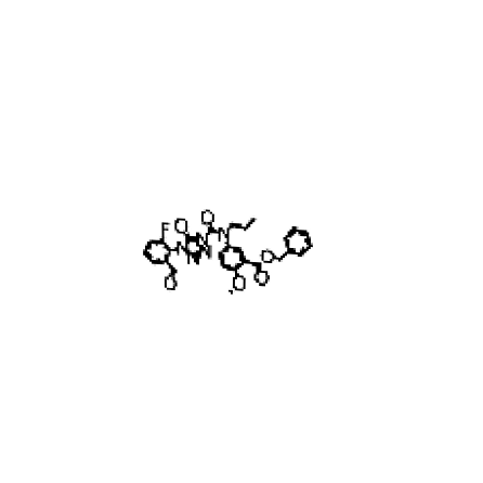 CCCN(C(=O)n1nnn(-c2c(F)cccc2C=O)c1=O)c1ccc(OC)c(C(=O)OCc2ccccc2)c1